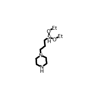 CCO[SiH](CCCN1CCNCC1)OCC